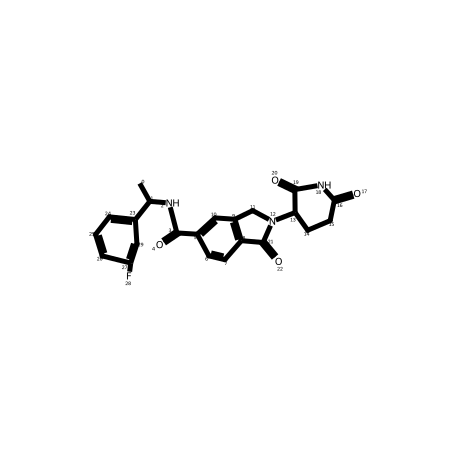 CC(NC(=O)c1ccc2c(c1)CN(C1CCC(=O)NC1=O)C2=O)c1cccc(F)c1